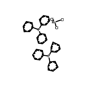 [Cl][Ru]([Cl])[Cl].c1ccc(P(c2ccccc2)c2ccccc2)cc1.c1ccc(P(c2ccccc2)c2ccccc2)cc1